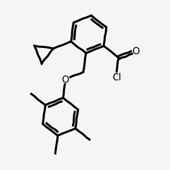 Cc1cc(C)c(OCc2c(C(=O)Cl)cccc2C2CC2)cc1C